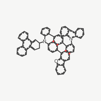 C1=c2c(c3ccccc3c3ccccc23)=CC(N(c2ccc(-c3cccc4c3oc3ccccc34)cc2)c2ccccc2-c2ccc(-c3ccccc3-n3c4ccccc4c4ccccc43)cc2)C1